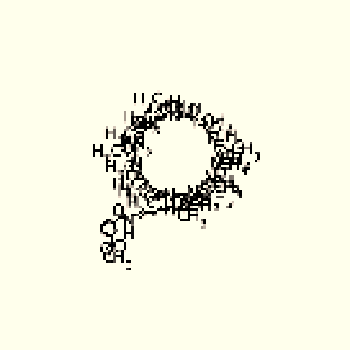 C=C1C(=O)N(C)[C@@H](CC(C)C)C(=O)N[C@@H](C(C)C)C(=O)N(C)[C@@H](CC(C)C)C(=O)N[C@@H](C)C(=O)N[C@@H](C)C(=O)N(C)C(CC(C)C)C(=O)N(C)C(=O)N(C)[C@@H](C(C)C)C(=O)N(C)C([C@H](O)[C@H](C)CCCCCCCNC(=O)c2cccc(C(=O)OC)c2)C(=O)N[C@@H](CC)C(=O)N1C